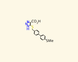 CSc1ccc(-c2ccc(CSc3[nH]nnc3C(=O)O)cc2)cc1